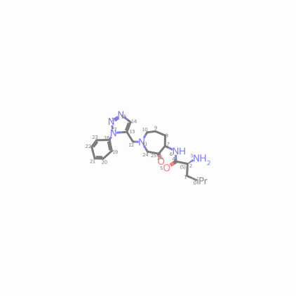 CC(C)C[C@H](N)C(=O)NC1CCCN(Cc2cnnn2-c2ccccc2)CC1=O